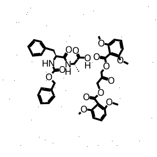 COc1cccc(OC)c1C(=O)OCC(=O)COC(=O)c1c(OC)cccc1OC.C[C@H](NC(=O)[C@H](Cc1ccccc1)NC(=O)OCc1ccccc1)C(=O)O